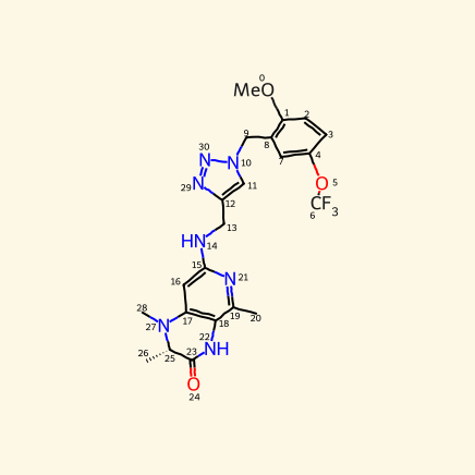 COc1ccc(OC(F)(F)F)cc1Cn1cc(CNc2cc3c(c(C)n2)NC(=O)[C@H](C)N3C)nn1